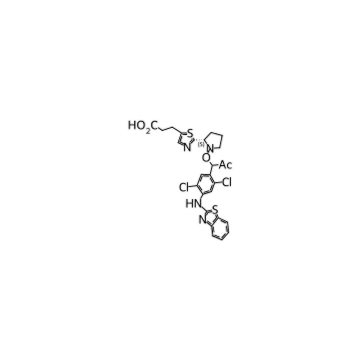 CC(=O)C(ON1CCC[C@H]1c1ncc(CCC(=O)O)s1)c1cc(Cl)c(Nc2nc3ccccc3s2)cc1Cl